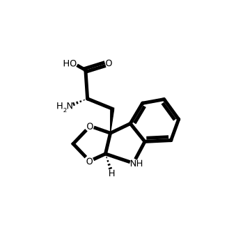 N[C@@H](C[C@]12OCO[C@@H]1Nc1ccccc12)C(=O)O